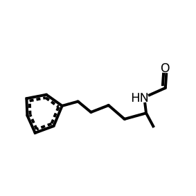 CC(CCCCc1ccccc1)NC=O